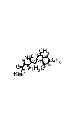 Cc1cn(Cc2c(Cl)ncc(C(=O)OC(C)(C)C)c2Cl)c2c(C)cc(C(F)(F)F)cc12